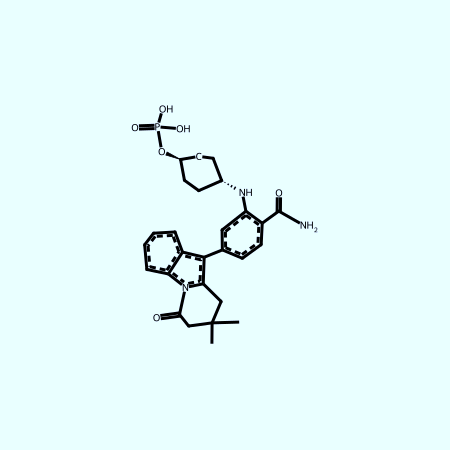 CC1(C)CC(=O)n2c(c(-c3ccc(C(N)=O)c(N[C@H]4CC[C@H](OP(=O)(O)O)CC4)c3)c3ccccc32)C1